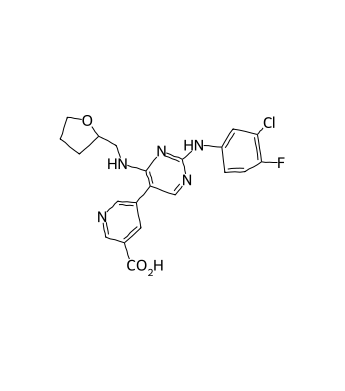 O=C(O)c1cncc(-c2cnc(Nc3ccc(F)c(Cl)c3)nc2NCC2CCCO2)c1